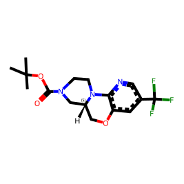 CC(C)(C)OC(=O)N1CCN2c3ncc(C(F)(F)F)cc3OC[C@@H]2C1